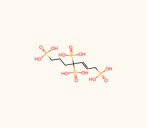 O=P(O)(O)C/C=C/C(CCCP(=O)(O)O)(P(=O)(O)O)P(=O)(O)O